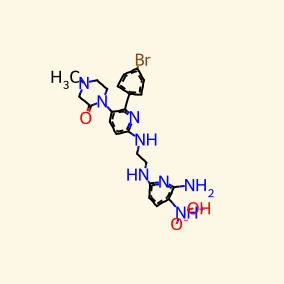 CN1CCN(c2ccc(NCCNc3ccc([NH+]([O-])O)c(N)n3)nc2-c2ccc(Br)cc2)C(=O)C1